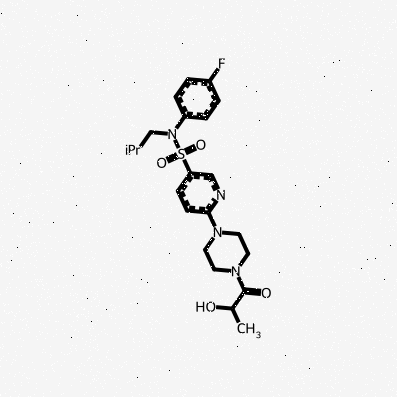 CC(C)CN(c1ccc(F)cc1)S(=O)(=O)c1ccc(N2CCN(C(=O)C(C)O)CC2)nc1